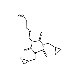 COCCOCn1c(=O)n(CC2CO2)c(=O)n(CC2CO2)c1=O